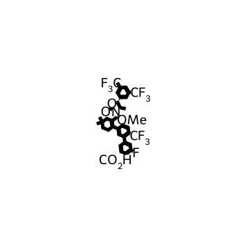 COc1cc(C(F)(F)F)c(-c2ccc(C(=O)O)c(F)c2)cc1C1=C(CN2C(=O)O[C@H](c3cc(C(F)(F)F)cc(C(F)(F)F)c3)C2C)CC(C)(C)CC1